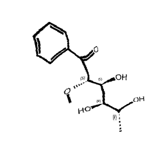 CO[C@H](C(=O)c1ccccc1)[C@@H](O)[C@H](O)[C@@H](C)O